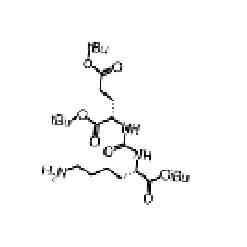 CC(C)COC(=O)[C@H](CCCCN)NC(=O)N[C@@H](CCC(=O)OC(C)(C)C)C(=O)OC(C)(C)C